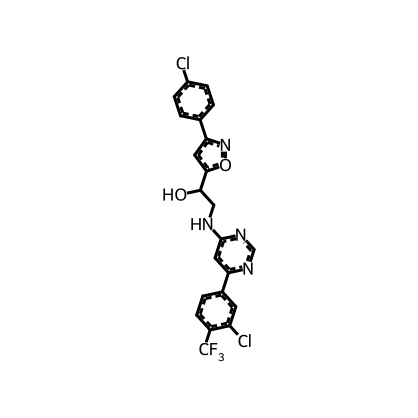 OC(CNc1cc(-c2ccc(C(F)(F)F)c(Cl)c2)ncn1)c1cc(-c2ccc(Cl)cc2)no1